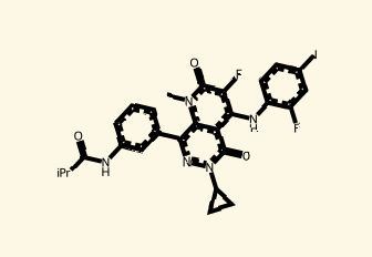 CC(C)C(=O)Nc1cccc(-c2nn(C3CC3)c(=O)c3c(Nc4ccc(I)cc4F)c(F)c(=O)n(C)c23)c1